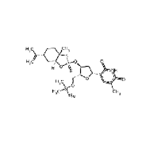 C=C(C)[C@@H]1CC[C@]2(C)S[P@@](=S)(O[C@H]3C[C@H](n4cc(C)c(=O)[nH]c4=O)O[C@@H]3CO[Si](C)(C)C(C)(C)C)O[C@H]2C1